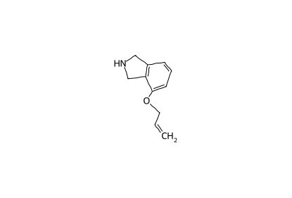 C=CCOc1cccc2c1CNC2